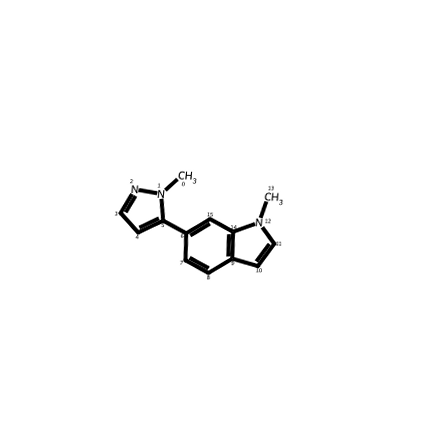 Cn1nccc1-c1ccc2ccn(C)c2c1